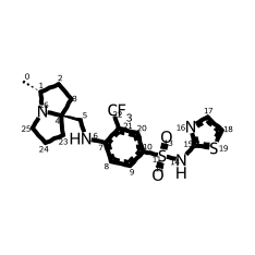 C[C@@H]1CC[C@]2(CNc3ccc(S(=O)(=O)Nc4nccs4)cc3C(F)(F)F)CCCN12